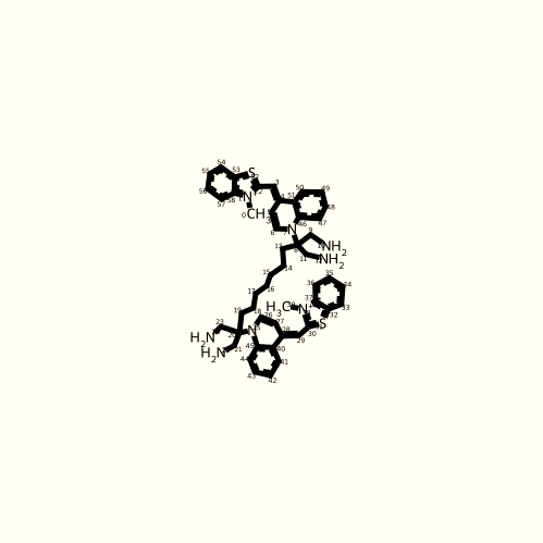 C[n+]1c(C=C2C=CN(C(CN)(CN)CCCCCCCC(CN)(CN)N3C=CC(=Cc4sc5ccccc5[n+]4C)c4ccccc43)c3ccccc32)sc2ccccc21